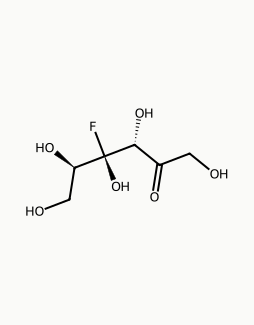 O=C(CO)[C@@H](O)[C@@](O)(F)[C@H](O)CO